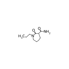 CCCN1CCCCC(C(N)=O)C1=O